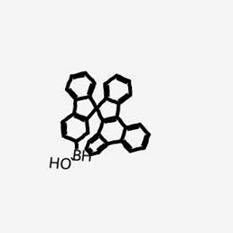 OBC1C=CC2=C(C1)C1(c3ccccc32)c2ccccc2-c2c1c1ccccc1c1ccccc21